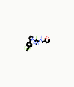 CC(F)(F)c1ccc(C2CCCN2c2ncnc(NCC3CCCOC3)c2F)cc1